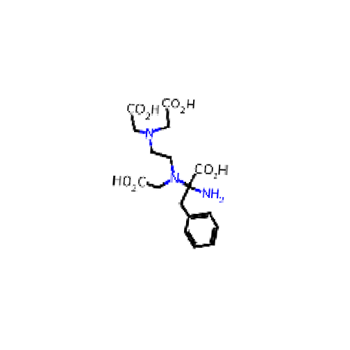 NC(Cc1ccccc1)(C(=O)O)N(CCN(CC(=O)O)CC(=O)O)CC(=O)O